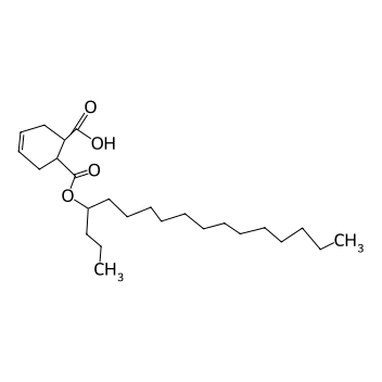 CCCCCCCCCCCCCC(CCC)OC(=O)C1CC=CCC1C(=O)O